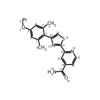 Cc1cc(OC(C)C)cc(C)c1-c1csc(-c2cc(C(N)=O)ccn2)n1